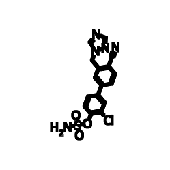 N#Cc1ccc(-c2ccc(OS(N)(=O)=O)c(Cl)c2)cc1Cn1cncn1